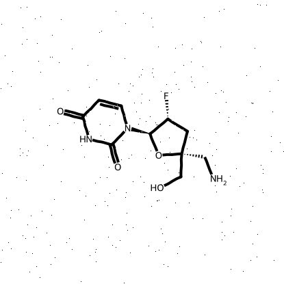 NC[C@@]1(CO)C[C@@H](F)[C@H](n2ccc(=O)[nH]c2=O)O1